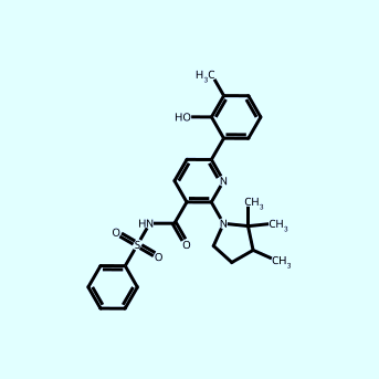 Cc1cccc(-c2ccc(C(=O)NS(=O)(=O)c3ccccc3)c(N3CCC(C)C3(C)C)n2)c1O